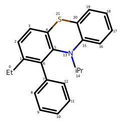 CCc1ccc2c(c1-c1ccccc1)N(C(C)C)c1ccccc1S2